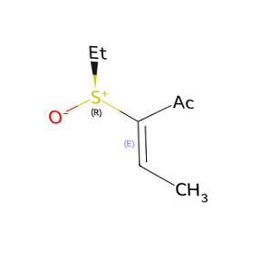 C/C=C(\C(C)=O)[S@@+]([O-])CC